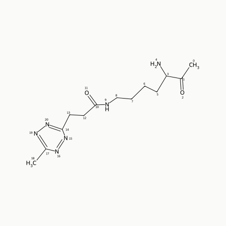 CC(=O)C(N)CCCCNC(=O)CCc1nnc(C)nn1